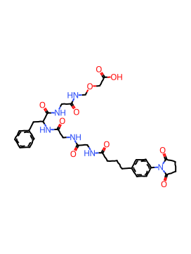 O=C(O)COCNC(=O)CNC(=O)C(Cc1ccccc1)NC(=O)CNC(=O)CNC(=O)CCCc1ccc(N2C(=O)CCC2=O)cc1